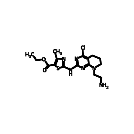 CCOC(=O)c1sc(Nc2nc(Cl)c3c(n2)N(CCN)CCC3)nc1C